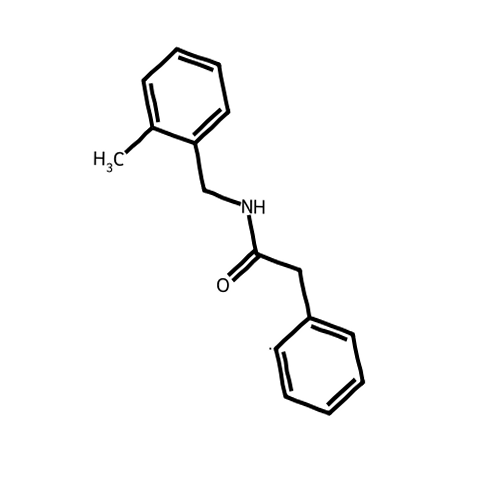 Cc1ccccc1CNC(=O)Cc1[c]cccc1